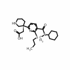 CCCSc1nc([C@@]2(CC(=O)O)CCCNC2)ccc1C(=O)N(C)C1CCCCC1